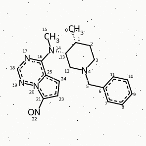 C[C@@H]1CCN(Cc2ccccc2)C[C@@H]1N(C)c1ncnn2c(N=O)ccc12